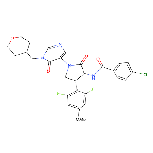 COc1cc(F)c([C@@H]2CN(c3cncn(CC4CCOCC4)c3=O)C(=O)C2NC(=O)c2ccc(Cl)cc2)c(F)c1